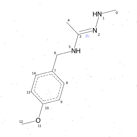 CN/N=C(\C)NCc1ccc(OC)cc1